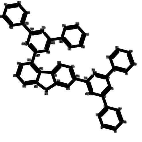 c1ccc(-c2cc(-c3ccccc3)nc(-c3ccc4c(c3)sc3cccc(-c5cc(-c6ccccc6)nc(-c6ccccc6)n5)c34)n2)cc1